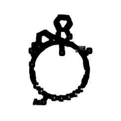 CC(=O)OC1CCC=COC2Oc3ccc4c(=O)c(c5oc6ccccc6nc-5c4c3C2=O)NC(=O)C=CC=CCCCCC1